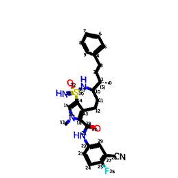 C[C@@H](CCc1ccccc1)C1CCc2c(cn(C)c2C(=O)Nc2ccc(F)c(C#N)c2)S(=N)(=O)N1